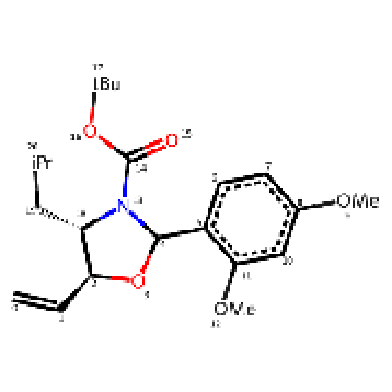 C=C[C@@H]1OC(c2ccc(OC)cc2OC)N(C(=O)OC(C)(C)C)[C@H]1CC(C)C